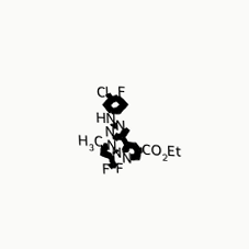 CCOC(=O)c1cncc(-c2cnc(Nc3ccc(F)c(Cl)c3)nc2-n2nc(C(F)F)cc2C)c1